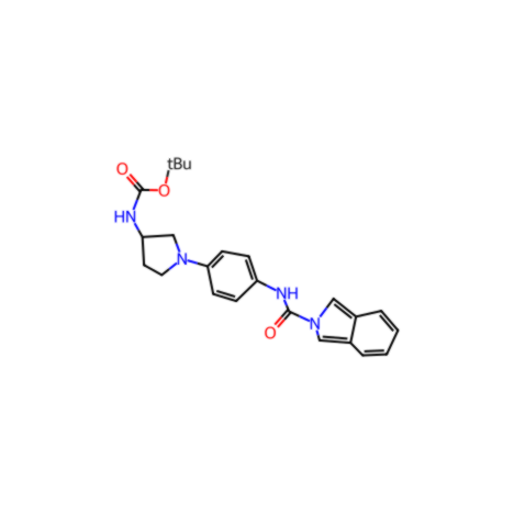 CC(C)(C)OC(=O)NC1CCN(c2ccc(NC(=O)n3cc4ccccc4c3)cc2)C1